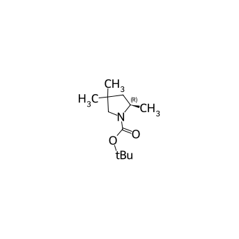 C[C@@H]1CC(C)(C)CN1C(=O)OC(C)(C)C